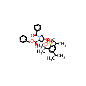 CC(C)c1cc(C(C)C)c(S(=O)(=O)OC2C[C@@H](C(=O)OCc3ccccc3)N(C(=O)c3ccccc3)C2)c(C(C)C)c1